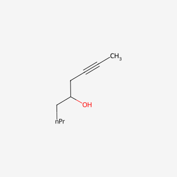 CC#CCC(O)CCCC